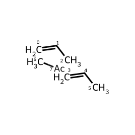 C=CC.C=CC.CC(C)=O